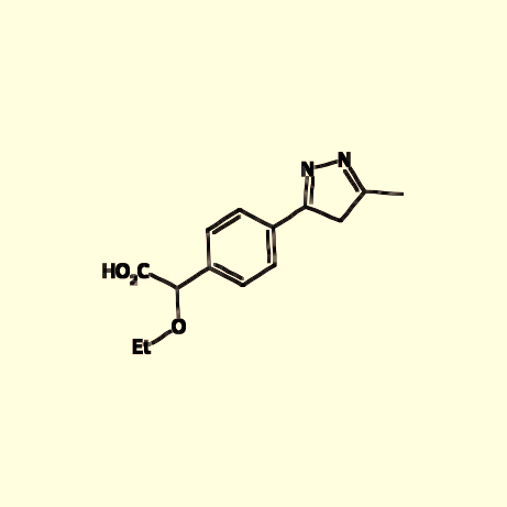 CCOC(C(=O)O)c1ccc(C2=NN=C(C)C2)cc1